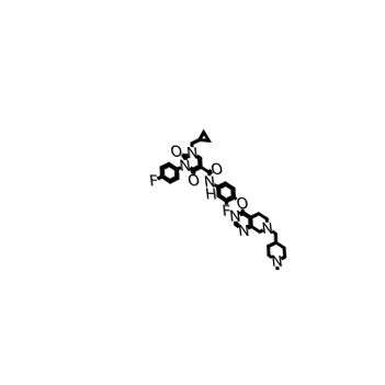 CN1CCC(CN2CCc3c(ncnc3Oc3ccc(NC(=O)c4cn(CC5CC5)c(=O)n(-c5ccc(F)cc5)c4=O)cc3F)C2)CC1